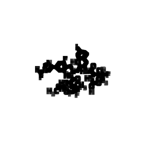 COC(=O)NC(C(=O)NN(Cc1c(F)cc(-c2cn(C(F)F)cn2)cc1F)CC(O)C(Cc1ccc(I)cc1)NC(=O)C(NC(=O)O)C(C)(C)C(F)(F)F)C(C)(C)C(F)(F)F